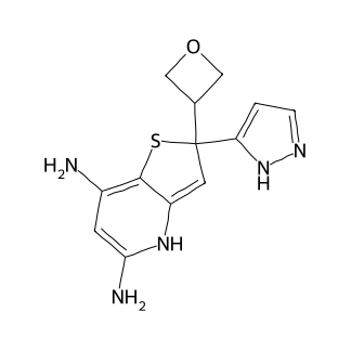 NC1=CC(N)=C2SC(c3ccn[nH]3)(C3COC3)C=C2N1